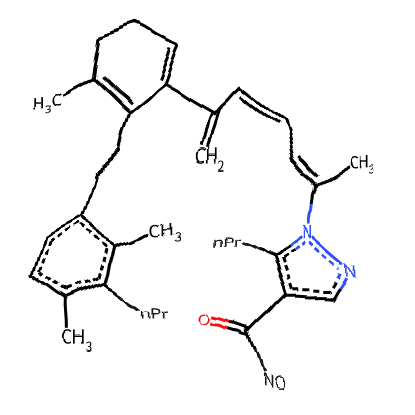 C=C(/C=C\C=C(/C)n1ncc(C(=O)N=O)c1CCC)C1=CCCC(C)=C1CCc1ccc(C)c(CCC)c1C